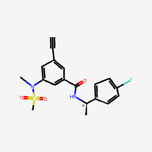 C#Cc1cc(C(=O)N[C@H](C)c2ccc(F)cc2)cc(N(C)S(C)(=O)=O)c1